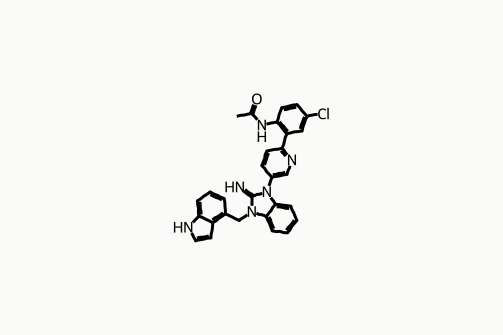 CC(=O)Nc1ccc(Cl)cc1-c1ccc(-n2c(=N)n(Cc3cccc4[nH]ccc34)c3ccccc32)cn1